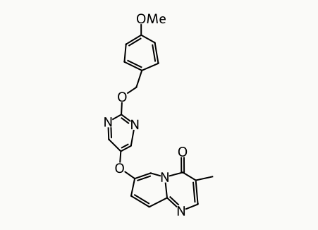 COc1ccc(COc2ncc(Oc3ccc4ncc(C)c(=O)n4c3)cn2)cc1